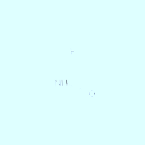 Fc1ccc2c(c1)O2.N